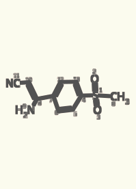 CS(=O)(=O)c1ccc(C(N)=CC#N)cc1